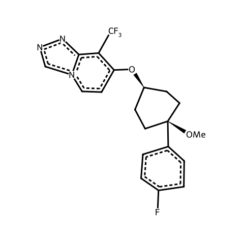 CO[C@]1(c2ccc(F)cc2)CC[C@H](Oc2ccn3cnnc3c2C(F)(F)F)CC1